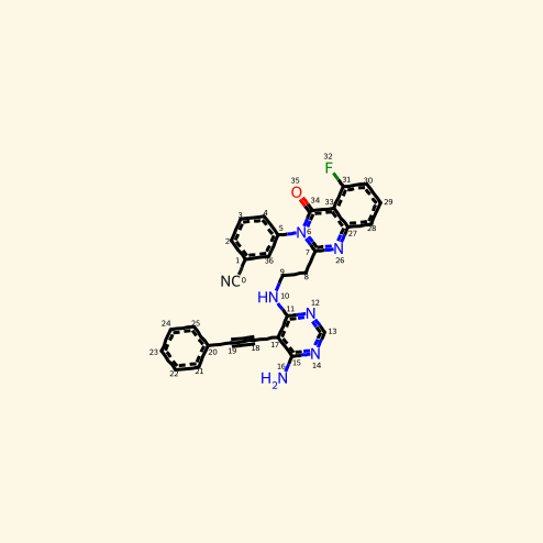 N#Cc1cccc(-n2c(CCNc3ncnc(N)c3C#Cc3ccccc3)nc3cccc(F)c3c2=O)c1